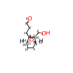 O=CCC[C@H]1[C@@H](CO)[C@H]2CC[C@@H]1O2